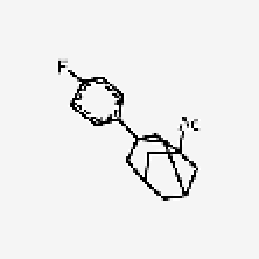 CC(=O)C12CC3CC(C1)CC(c1ccc(F)cc1)(C3)C2